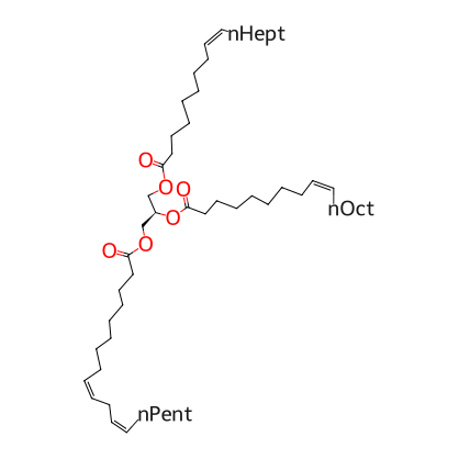 CCCCC/C=C\C/C=C\CCCCCCCC(=O)OC[C@@H](COC(=O)CCCCCCC/C=C\CCCCCCC)OC(=O)CCCCCCC/C=C\CCCCCCCC